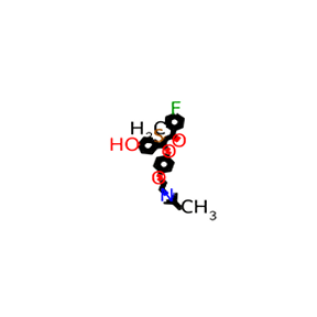 CCC1CN(CCOc2ccc(Oc3c(C(=O)c4ccc(F)cc4C)sc4cc(O)ccc34)cc2)C1